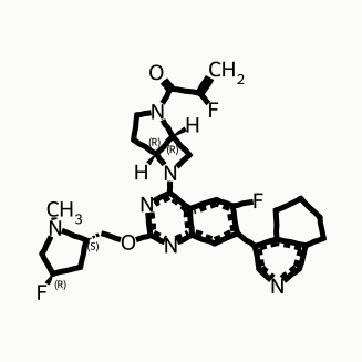 C=C(F)C(=O)N1CC[C@@H]2[C@H]1CN2c1nc(OC[C@@H]2C[C@@H](F)CN2C)nc2cc(-c3cncc4c3CCCC4)c(F)cc12